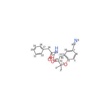 CC1(C)Oc2ccc(C#N)cc2[C@@H](NC(=O)Cc2ccccc2)[C@@H]1O